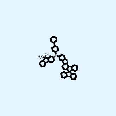 CC1(C)c2ccccc2-c2ccc(N(c3ccc(-c4ccccc4)cc3)c3ccc4sc5c6c(ccc5c4c3)C3(c4ccccc4-c4ccccc43)c3ccccc3-6)cc21